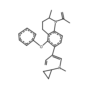 C=C/C(=C\N(C)C1CC1)c1ccc2c(c1Oc1ccccc1)CCC(C)N2C(=C)C